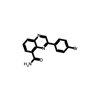 NC(=O)c1cccc2ncc(-c3ccc(Br)cc3)nc12